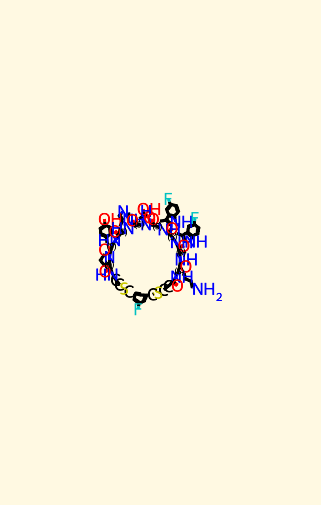 C[C@H]1NC(=O)[C@H](CCCCN)NC(=O)CCSCc2cc(F)cc(c2)CSCCNC(=O)[C@]2(C)CCCN2C(=O)[C@H](Cc2ccc(O)cc2)NC(=O)[C@H](Cc2cnc[nH]2)NC(=O)[C@H](CC(=O)O)NC(=O)[C@H](Cc2c[nH]c3ccc(F)cc23)NC(=O)[C@H](Cc2c[nH]c3ccc(F)cc23)NC1=O